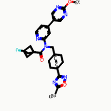 CCOc1ncc(-c2ccnc(N(CC34CCC(c5noc(C(C)(C)C)n5)(CC3)CC4)C(=O)C34CC(F)(C3)C4)c2)cn1